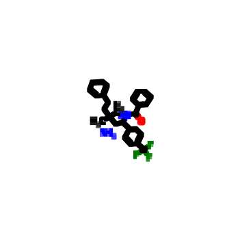 CC(C)(CCc1ccccc1)CC(NC(=O)c1ccccc1)c1ccc(C(F)(F)F)cc1.N